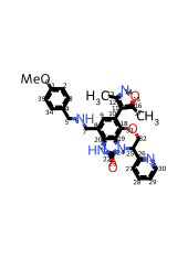 COc1ccc(CNCc2cc(-c3c(C)noc3C)c3c4c2[nH]c(=O)n4C(c2ccccn2)CO3)cc1